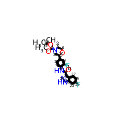 CC(C)(C)OC(=O)N1CCOC(c2ccc(NC(=O)c3n[nH]c4cc(F)ccc34)c(F)c2)C1